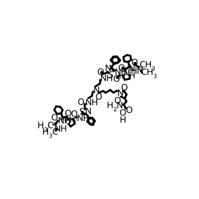 CN[C@@H](C)C(=O)N[C@H](C(=O)N1CCC[C@H]1C(=O)Nc1sc(C(=O)NCCCN(CCCNC(=O)c2nc(-c3ccccc3)c(NC(=O)[C@@H]3CCCN3C(=O)[C@@H](NC(=O)[C@H](C)NC)C3CCCCC3)s2)C(=O)CCCCCN2C(=O)CC(CC(N)C(=O)O)C2=O)nc1-c1ccccc1)C1CCCCC1